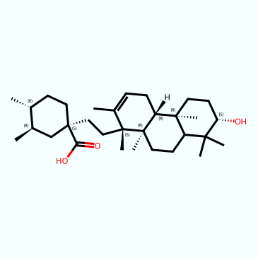 CC1=CC[C@@H]2[C@@]3(C)CC[C@H](O)C(C)(C)C3CC[C@@]2(C)[C@]1(C)CC[C@@]1(C(=O)O)CC[C@@H](C)[C@H](C)C1